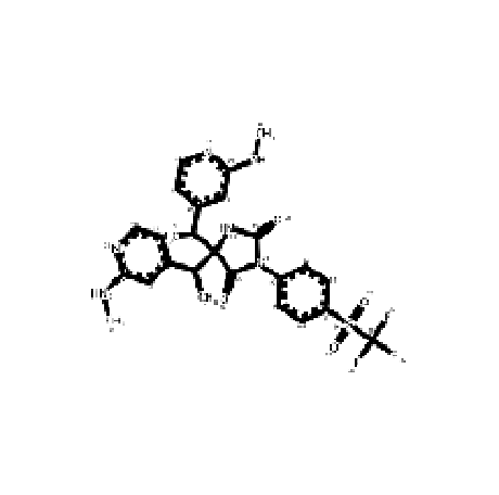 CNc1cc(C(C)C2(C(C)c3ccnc(NC)c3)NC(=O)N(c3ccc(S(=O)(=O)C(F)(F)F)cc3)C2=O)ccn1